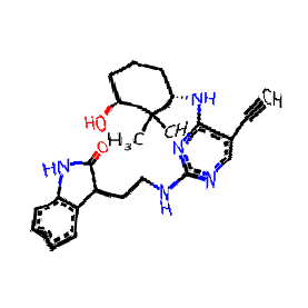 C#Cc1cnc(NCCC2C(=O)Nc3ccccc32)nc1N[C@H]1CCC[C@H](O)C1(C)C